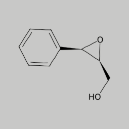 OC[C@@H]1O[C@@H]1c1ccccc1